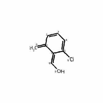 C=c1cccc(Cl)c1=CO